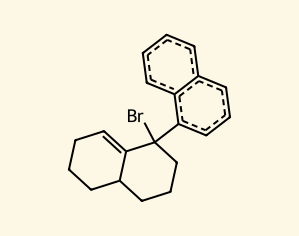 BrC1(c2cccc3ccccc23)CCCC2CCCC=C21